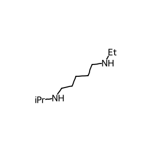 [CH2]CNCCCCCNC(C)C